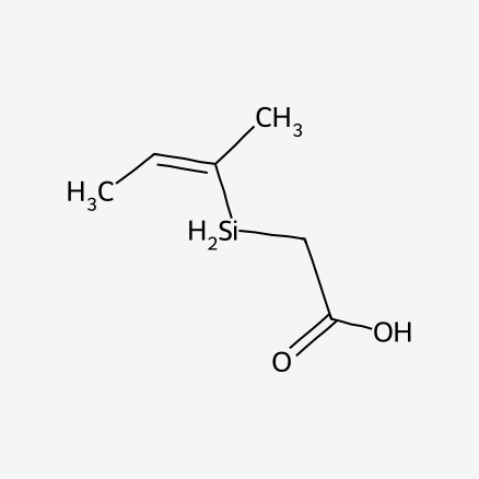 CC=C(C)[SiH2]CC(=O)O